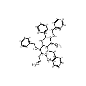 C=CCC(OC)C(OCc1ccccc1)C(OCc1ccccc1)C(OCc1ccccc1)C(C)COCc1ccccc1